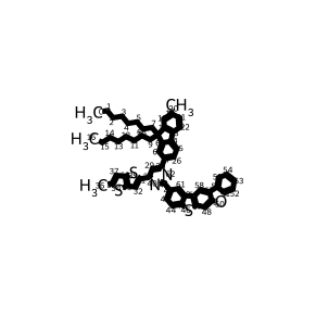 CCCCCCCCC1(CCCCCCCC)c2cc(C)ccc2-c2ccc(-c3cc(-c4cc5sc(C)cc5s4)nc(-c4ccc5sc6cc7oc8ccccc8c7cc6c5c4)n3)cc21